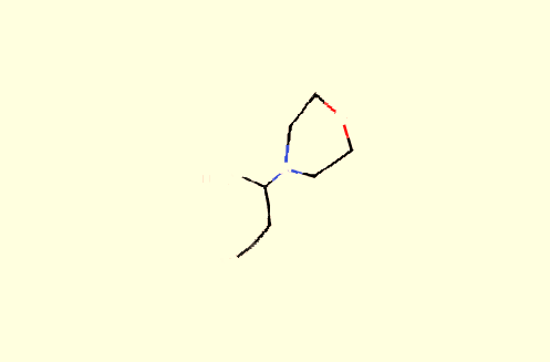 CC(C)CC(C(=O)O)N1CCOCC1